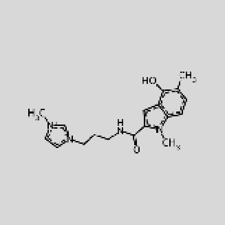 Cc1ccc2c(cc(C(=O)NCCCn3cc[n+](C)c3)n2C)c1O